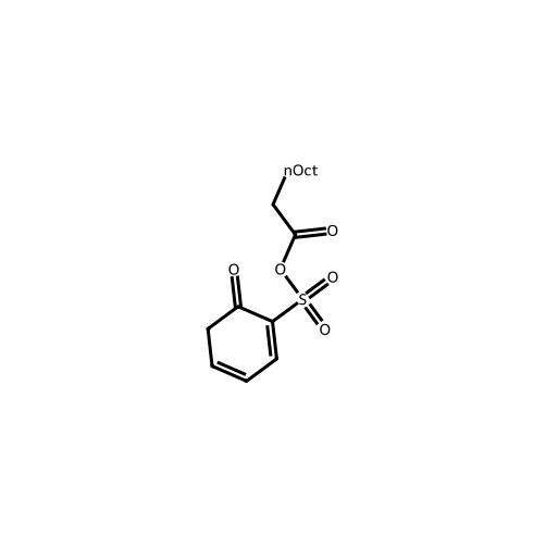 CCCCCCCCCC(=O)OS(=O)(=O)C1=CC=CCC1=O